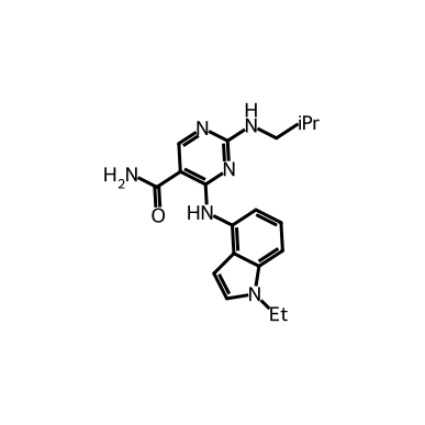 CCn1ccc2c(Nc3nc(NCC(C)C)ncc3C(N)=O)cccc21